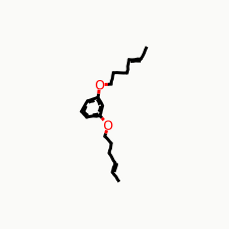 CC=CCCCOc1cccc(OCCCC=CC)c1